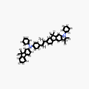 [2H]/C(=C(/[2H])c1ccc2c(c1)C(C)(C)c1cc3c(cc1-2)c(C)c(C)n3-c1ccccc1)c1ccc(N(c2ccccc2)c2ccc3c(c2)C(C)(C)c2ccccc2-3)cc1